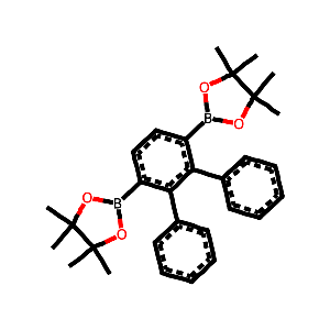 CC1(C)OB(c2ccc(B3OC(C)(C)C(C)(C)O3)c(-c3ccccc3)c2-c2ccccc2)OC1(C)C